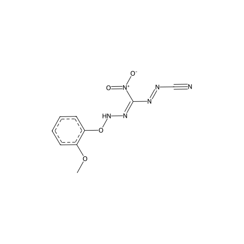 COc1ccccc1ONN=C(N=NC#N)[N+](=O)[O-]